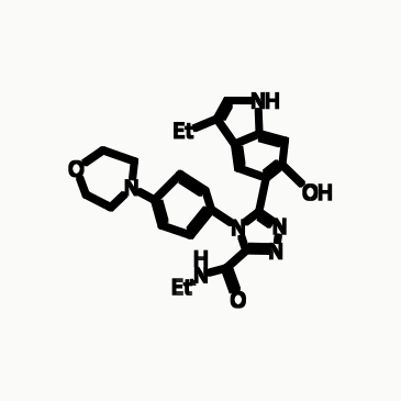 CCNC(=O)c1nnc(-c2cc3c(CC)c[nH]c3cc2O)n1-c1ccc(N2CCOCC2)cc1